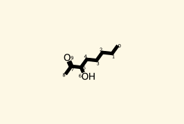 CCCCCC(O)C(C)=O